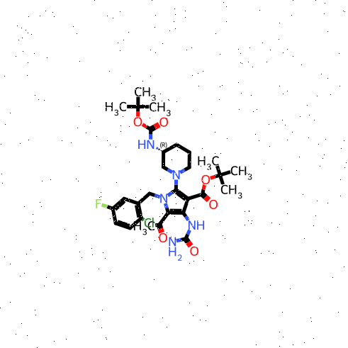 CC(=O)c1c(NC(N)=O)c(C(=O)OC(C)(C)C)c(N2CCC[C@@H](NC(=O)OC(C)(C)C)C2)n1Cc1cc(F)ccc1Cl